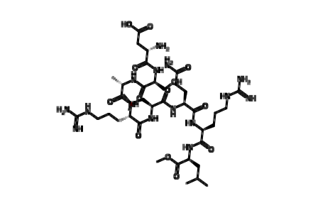 COC(=O)[C@H](CC(C)C)NC(=O)[C@H](CCCNC(=N)N)NC(=O)[C@H](CCC(N)=O)NC(=O)[C@H](CC(C)C)NC(=O)[C@H](CCCNC(=N)N)NC(=O)[C@H](C)NC(=O)[C@H](CO)NC(=O)[C@@H](N)CC(=O)O